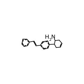 NC1CC=CCC1c1ccc(C=Cc2ccccc2)cc1